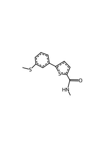 CNC(=O)c1ccc(-c2cccc(SC)c2)s1